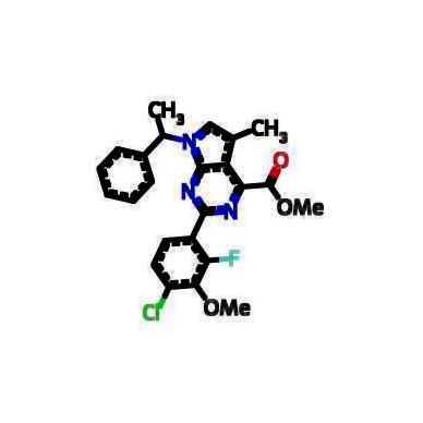 COC(=O)c1nc(-c2ccc(Cl)c(OC)c2F)nc2c1c(C)cn2C(C)c1ccccc1